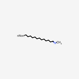 CCCCCCCCCCCCCCCCCCCCC/C=N/C